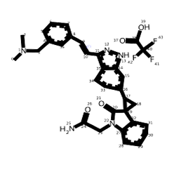 CN(C)Cc1cccc(/C=C/c2n[nH]c3cc(C4CC45C(=O)N(CC(N)=O)c4ccccc45)ccc23)c1.O=C(O)C(F)(F)F